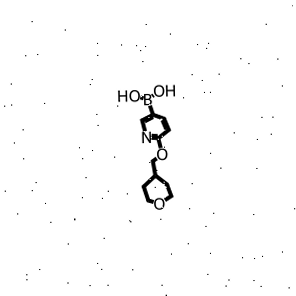 OB(O)c1ccc(OCC2CCOCC2)nc1